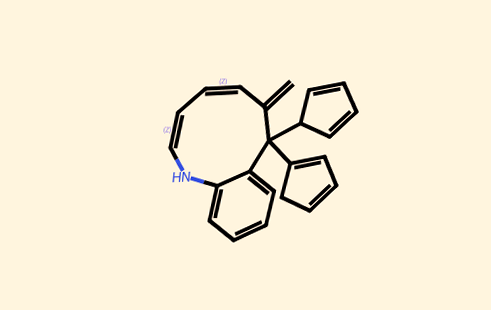 C=C1/C=C\C=C/Nc2ccccc2C1(C1=CC=CC1)C1C=CC=C1